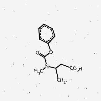 CC(CC(=O)O)N(C)C(=O)Oc1ccccc1